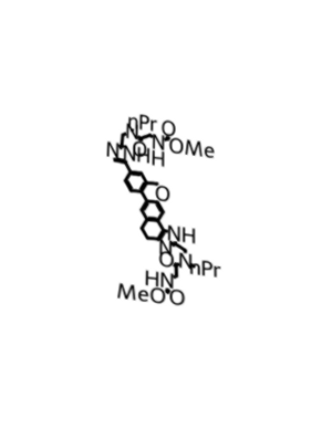 CCCN(Cc1ncc(-c2ccc3c(c2)COc2cc4c(cc2-3)CCc2nc(CN(CCC)C(=O)CNC(=O)OC)[nH]c2-4)[nH]1)C(=O)CNC(=O)OC